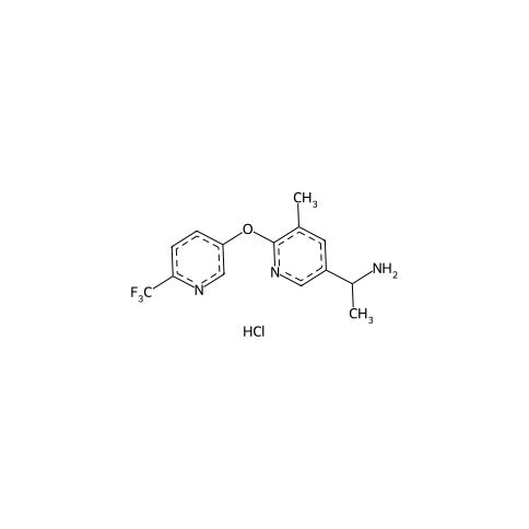 Cc1cc(C(C)N)cnc1Oc1ccc(C(F)(F)F)nc1.Cl